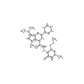 CCCc1cc(C)[nH]c(=O)c1CNC(=O)c1cc(-c2cccnc2)cc2c1c(C)nn2C(C)C